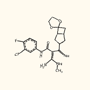 CN/C(N)=C(\C(=N)C1CC2CC3(OCCO3)C2C1)C(=O)Nc1ccc(F)c(Cl)c1